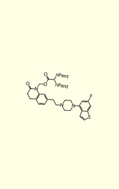 CCCCCC(CCCCC)C(=O)OCN1C(=O)CCc2ccc(CCN3CCN(c4cc(F)cc5sccc45)CC3)cc21